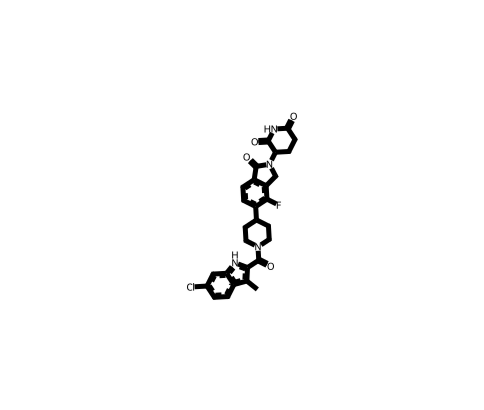 Cc1c(C(=O)N2CCC(c3ccc4c(c3F)CN(C3CCC(=O)NC3=O)C4=O)CC2)[nH]c2cc(Cl)ccc12